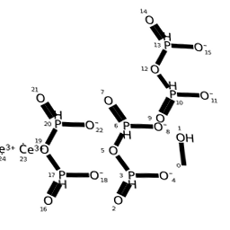 CO.O=[PH]([O-])O[PH](=O)[O-].O=[PH]([O-])O[PH](=O)[O-].O=[PH]([O-])O[PH](=O)[O-].[Ce+3].[Ce+3]